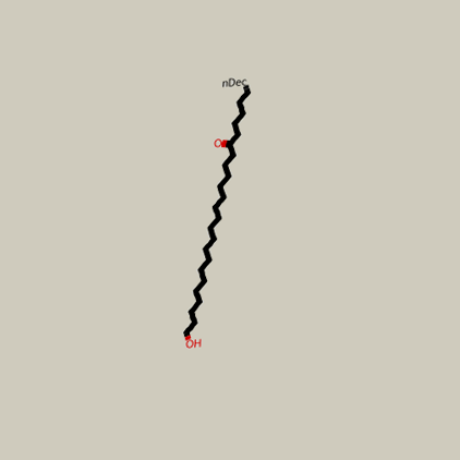 CCCCCCCCCCCCCCCC(=O)CCCCCCCCCCCCCCCCCCO